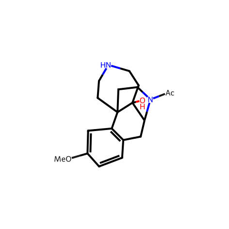 COc1ccc2c(c1)C13CCNCCC1(O)C(C2)N(C(C)=O)CC3